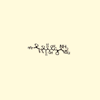 CCCC(=O)NC(=O)C(O)C(O)C(O)C(O)COC(=O)C(N)C(C)CC